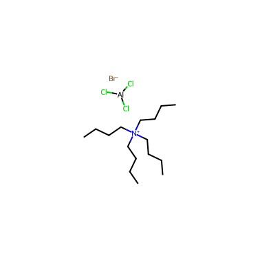 CCCC[N+](CCCC)(CCCC)CCCC.[Br-].[Cl][Al]([Cl])[Cl]